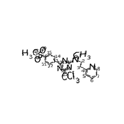 CN(CCc1ccccn1)c1nc(-c2ccc(S(C)(=O)=O)cc2)nc(C(Cl)(Cl)Cl)n1